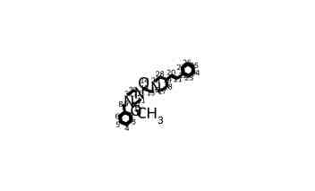 COc1ccccc1CN1CCN(C(=O)CN2CCC(/C=C/c3ccccc3)CC2)CC1